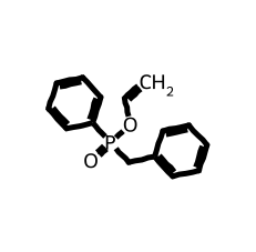 C=COP(=O)(Cc1ccccc1)c1ccccc1